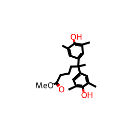 COC(=O)CCCC(C)(c1cc(C)c(O)c(C)c1)c1cc(C)c(O)c(C)c1